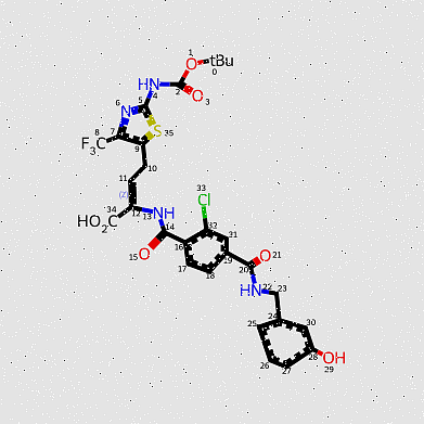 CC(C)(C)OC(=O)Nc1nc(C(F)(F)F)c(C/C=C(\NC(=O)c2ccc(C(=O)NCc3cccc(O)c3)cc2Cl)C(=O)O)s1